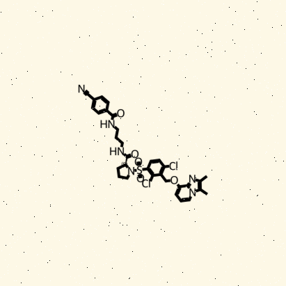 Cc1nc2c(OCc3c(Cl)ccc(S(=O)(=O)N4CCC[C@H]4C(=O)NCCCNC(=O)c4ccc(C#N)cc4)c3Cl)cccn2c1C